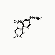 CN1CCN(c2ccc(N=[N+]=[N-])cc2[N+](=O)[O-])CC1